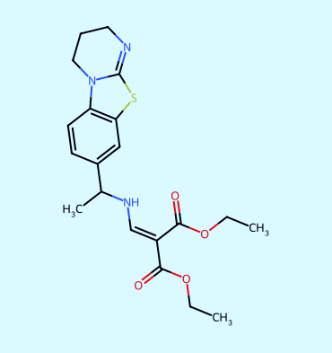 CCOC(=O)C(=CNC(C)c1ccc2c(c1)SC1=NCCCN12)C(=O)OCC